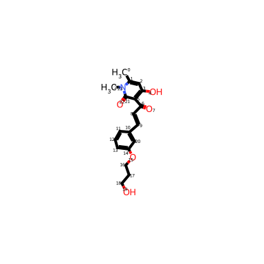 Cc1cc(O)c(C(=O)C=Cc2cccc(OCCCO)c2)c(=O)n1C